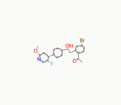 COc1cc(-c2ccc(C(O)Cc3cc(Br)ccc3C(C)=O)cc2)c(F)cn1